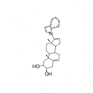 C[C@]12CC(O)[C@H](O)CC1=CCC1C2CC[C@]2(C)C(n3ccc4ccccc43)=CCC12